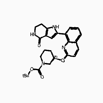 CC(C)(C)OC(=O)N1CCC[C@@H](Oc2ccc3cccc(-c4cc5c([nH]4)CCNC5=O)c3n2)C1